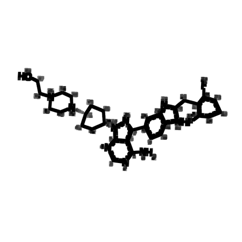 Nc1ncnc2c1c(-c1ccc3[nH]c(Cc4c(F)cccc4F)nc3c1)nn2[C@H]1CC[C@@H](N2CCN(CCO)CC2)CC1